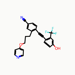 N#Cc1ccc(C#Cc2ccc(O)cc2C(F)(F)F)c(CCCOc2ccncc2)c1